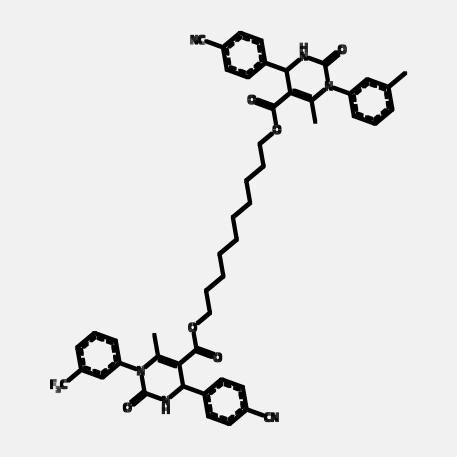 CC1=C(C(=O)OCCCCCCCCCCOC(=O)C2=C(C)N(c3cccc(C(F)(F)F)c3)C(=O)NC2c2ccc(C#N)cc2)C(c2ccc(C#N)cc2)NC(=O)N1c1cccc(C)c1